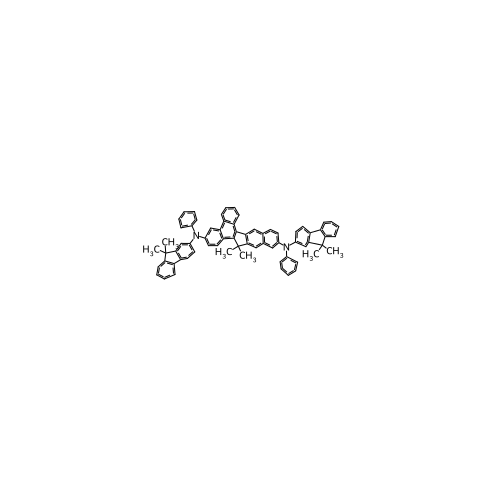 CC1(C)c2ccccc2-c2ccc(N(c3ccccc3)c3ccc4cc5c(cc4c3)C(C)(C)c3c-5c4ccccc4c4cc(N(c5ccccc5)c5ccc6c(c5)C(C)(C)c5ccccc5-6)ccc34)cc21